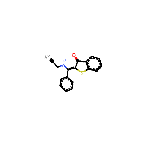 C#CCN/C(=C1/Sc2ccccc2C1=O)c1ccccc1